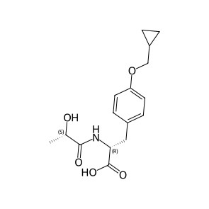 C[C@H](O)C(=O)N[C@H](Cc1ccc(OCC2CC2)cc1)C(=O)O